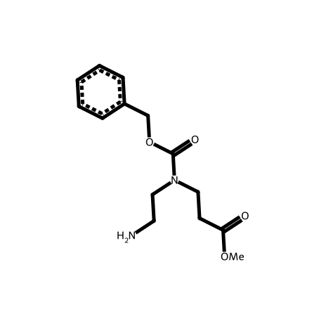 COC(=O)CCN(CCN)C(=O)OCc1ccccc1